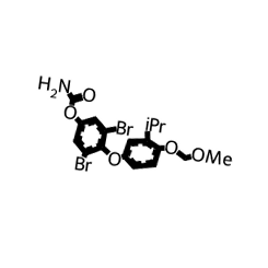 COCOc1ccc(Oc2c(Br)cc(OC(N)=O)cc2Br)cc1C(C)C